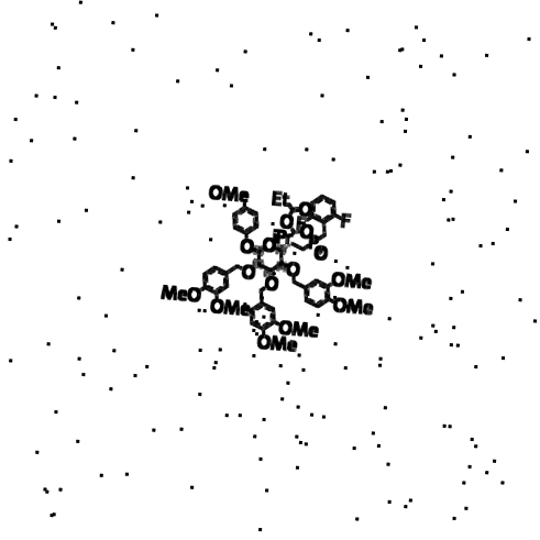 CCC(=O)OC(OP(=O)(CC[C@H]1O[C@H](Oc2ccc(OC)cc2)[C@@H](OCc2ccc(OC)c(OC)c2)[C@@H](OCc2ccc(OC)c(OC)c2)[C@@H]1OCc1ccc(OC)c(OC)c1)Cc1c(F)cccc1F)C(C)C